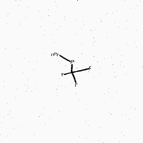 CCC[P]C(F)(F)F